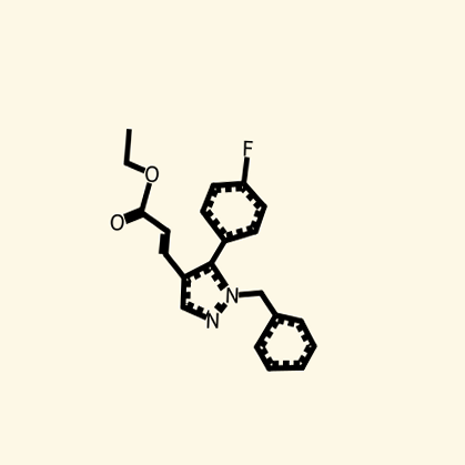 CCOC(=O)C=Cc1cnn(Cc2ccccc2)c1-c1ccc(F)cc1